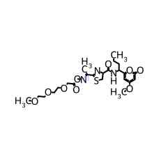 CCCC(NC(=O)C1CSC(/C(C)=N/OC(=O)COCCOCCOC)=N1)c1cc(OC)cc(=O)o1